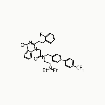 CCN(CC)CCN(Cc1ccc(-c2ccc(C(F)(F)F)cc2)cc1)C(=O)Cn1c(CCc2ccccc2F)nc(=O)c2ccccc21